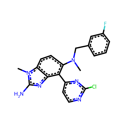 CN(Cc1cccc(F)c1)c1ccc2c(nc(N)n2C)c1-c1ccnc(Cl)n1